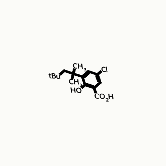 CC(C)(C)CC(C)(C)c1cc(Cl)cc(C(=O)O)c1O